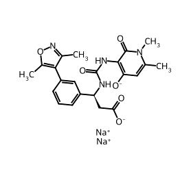 Cc1noc(C)c1-c1cccc([C@H](CC(=O)[O-])NC(=O)Nc2c([O-])cc(C)n(C)c2=O)c1.[Na+].[Na+]